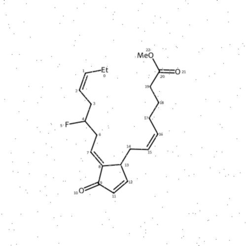 CC/C=C\CC(F)C/C=C1/C(=O)C=CC1C/C=C\CCCC(=O)OC